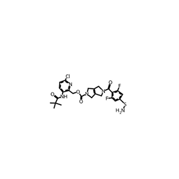 CC(C)(C)C(=O)Nc1ccc(Cl)nc1COC(=O)N1CC2=C(C1)CN(C(=O)c1c(F)cc(SN)cc1F)C2